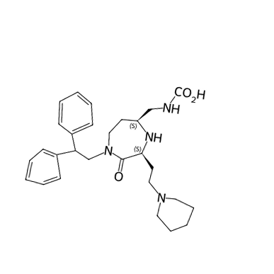 O=C(O)NC[C@@H]1CCN(CC(c2ccccc2)c2ccccc2)C(=O)[C@H](CCN2CCCCC2)N1